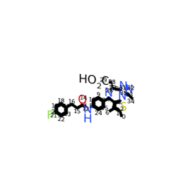 Cc1sc2c(c1C)C(c1ccc(NC(=O)CCc3ccc(F)cc3)cc1)=N[C@@H](CC(=O)O)c1nnc(C)n1-2